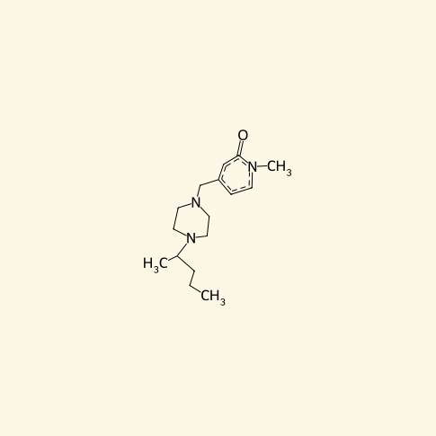 CCCC(C)N1CCN(Cc2ccn(C)c(=O)c2)CC1